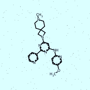 COc1ccc(Nc2cc(N3CC4(CCN(C)CC4)C3)nc(-c3cccnc3)n2)nc1